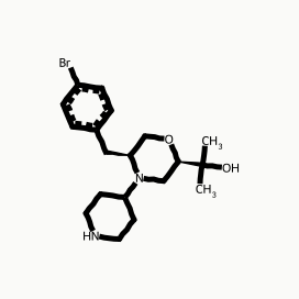 CC(C)(O)[C@H]1CN(C2CCNCC2)[C@@H](Cc2ccc(Br)cc2)CO1